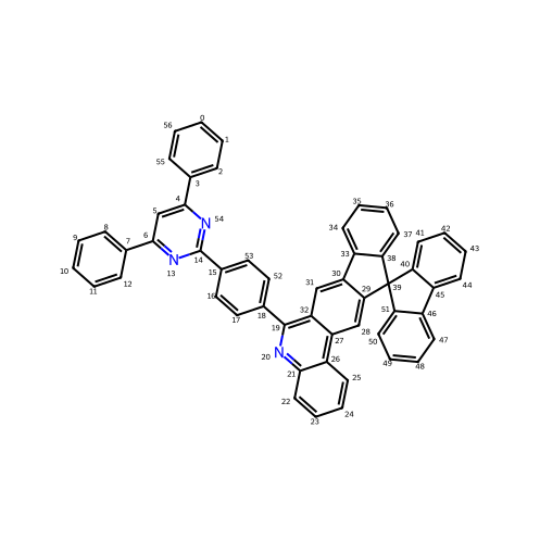 c1ccc(-c2cc(-c3ccccc3)nc(-c3ccc(-c4nc5ccccc5c5cc6c(cc45)-c4ccccc4C64c5ccccc5-c5ccccc54)cc3)n2)cc1